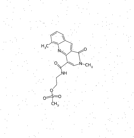 Cc1cccc2cc3c(=O)n(C)cc(C(=O)NCCOS(C)(=O)=O)c3nc12